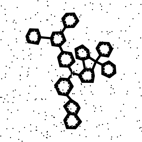 c1ccc(-c2cc(-c3ccccc3)cc(-c3ccc(N(c4cccc(-c5ccc6ccccc6c5)c4)c4cccc5c4-c4ccccc4C5(c4ccccc4)c4ccccc4)cc3)c2)cc1